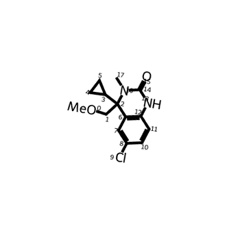 COCC1(C2CC2)c2cc(Cl)ccc2NC(=O)N1C